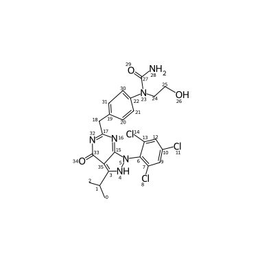 CC(C)c1[nH]n(-c2c(Cl)cc(Cl)cc2Cl)c2nc(Cc3ccc(N(CCO)C(N)=O)cc3)nc(=O)c1-2